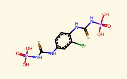 O=P(O)(O)NC(=S)Nc1ccc(NC(=S)NP(=O)(O)O)c(Br)c1